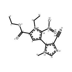 CCOC(=O)c1cc(-c2c(C#N)ncn2C)c([N+](=O)[O-])n1CC